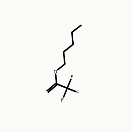 C=C(OCCCCC)C(F)(F)F